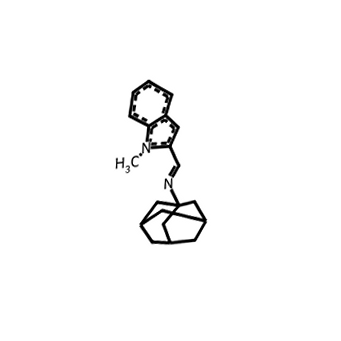 Cn1c(/C=N/C23CC4CC(CC(C4)C2)C3)cc2ccccc21